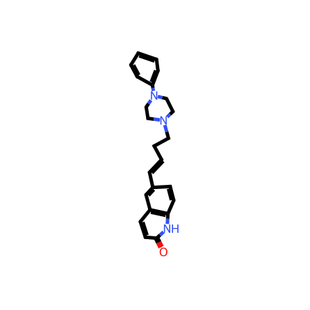 O=c1ccc2cc(C=CCCN3CCN(c4ccccc4)CC3)ccc2[nH]1